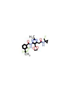 Cc1nc(CC(=O)NC2(CF)CC2)c(C2OCCO2)c(NC(=O)c2cccc(C(C)(F)F)c2F)n1